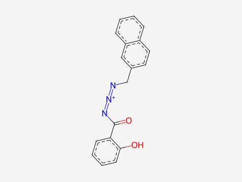 O=C(N=[N+]=NCc1ccc2ccccc2c1)c1ccccc1O